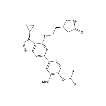 COc1cc(-c2cc3ncn(C4CC4)c3c(OCC[C@H]3CNC(=O)C3)n2)ccc1OC(F)F